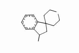 OC1CC2(CCNCC2)c2ccccc21